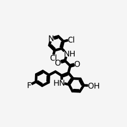 O=C(Nc1c(Cl)cncc1Cl)C(=O)c1c(Cc2ccc(F)cc2)[nH]c2ccc(O)cc12